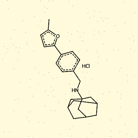 Cc1ccc(-c2ccc(CNC34CC5CC(CC(C5)C3)C4)cc2)o1.Cl